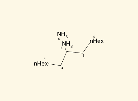 CCCCCCCCCCCCCCC.N.N